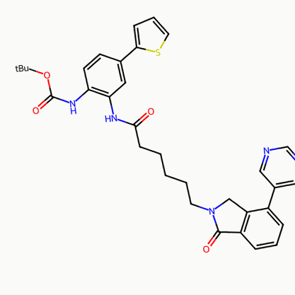 CC(C)(C)OC(=O)Nc1ccc(-c2cccs2)cc1NC(=O)CCCCCN1Cc2c(cccc2-c2cncnc2)C1=O